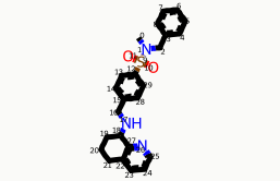 CN(Cc1ccccc1)S(=O)(=O)c1ccc(CNC2CCCc3cccnc32)cc1